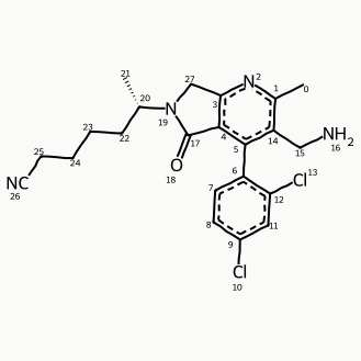 Cc1nc2c(c(-c3ccc(Cl)cc3Cl)c1CN)C(=O)N([C@@H](C)CCCCC#N)C2